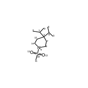 CC(C)C1(C(C)C)CCN(S(C)(=O)=O)CC1